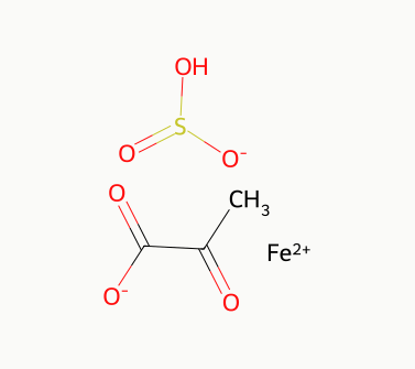 CC(=O)C(=O)[O-].O=S([O-])O.[Fe+2]